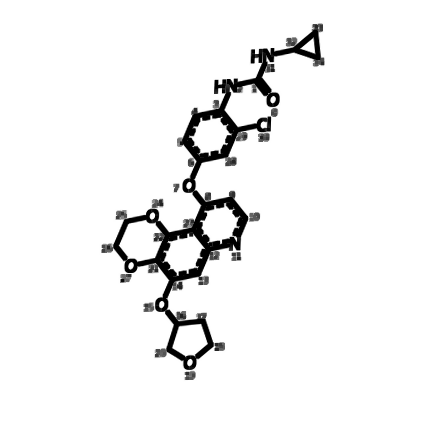 O=C(Nc1ccc(Oc2ccnc3cc(OC4CCOC4)c4c(c23)OCCO4)cc1Cl)NC1CC1